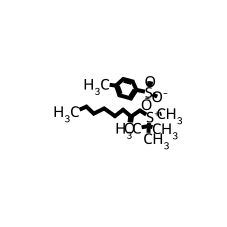 CCCCCCC(=O)C[S+](C)C(C)(C)C.Cc1ccc(S(=O)(=O)[O-])cc1